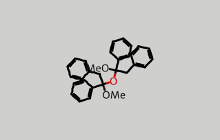 COC(Cc1ccccc1)(OC(Cc1ccccc1)(OC)c1ccccc1)c1ccccc1